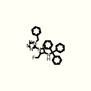 O=C1C(NC(c2ccccc2)(c2ccccc2)c2ccccc2)C(CF)N1c1nnnn1Cc1ccccc1